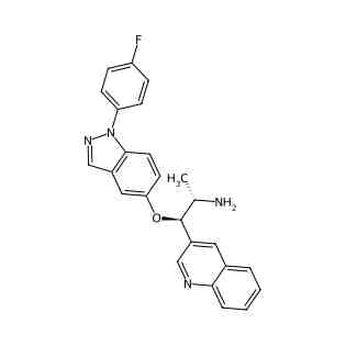 C[C@H](N)[C@H](Oc1ccc2c(cnn2-c2ccc(F)cc2)c1)c1cnc2ccccc2c1